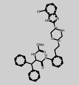 COC(=O)NC(C(=O)Nc1ccccc1CC[C@@H]1CN[C@H](c2nc3cccc(Cl)c3[nH]2)CO1)C(c1ccccc1)c1ccccc1